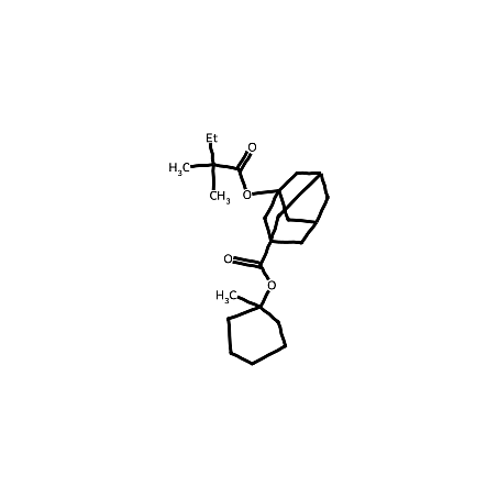 CCC(C)(C)C(=O)OC12CC3CC(C1)CC(C(=O)OC1(C)CCCCC1)(C3)C2